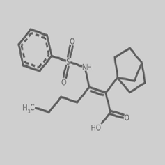 CCCCC(NS(=O)(=O)c1ccccc1)=C(C(=O)O)C12CCC(CC1)C2